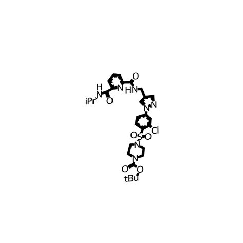 CC(C)NC(=O)c1cccc(C(=O)NCc2cnn(-c3ccc(S(=O)(=O)N4CCN(C(=O)OC(C)(C)C)CC4)c(Cl)c3)c2)n1